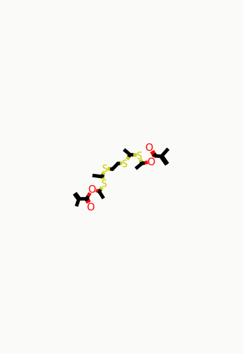 C=C(C)C(=O)OC(C)SC(C)SCCSC(C)SC(C)OC(=O)C(=C)C